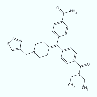 CCN(CC)C(=O)c1ccc(C(=C2CCN(Cc3cscn3)CC2)c2ccc(C(N)=O)cc2)cc1